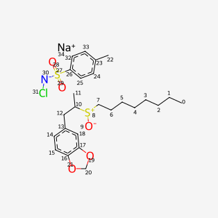 CCCCCCCC[S+]([O-])C(C)Cc1ccc2c(c1)OCO2.Cc1ccc(S(=O)(=O)[N-]Cl)cc1.[Na+]